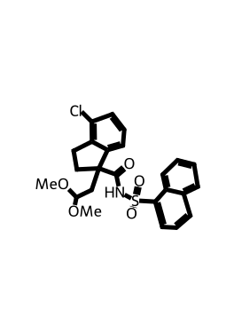 COC(CC1(C(=O)NS(=O)(=O)c2cccc3ccccc23)CCc2c(Cl)cccc21)OC